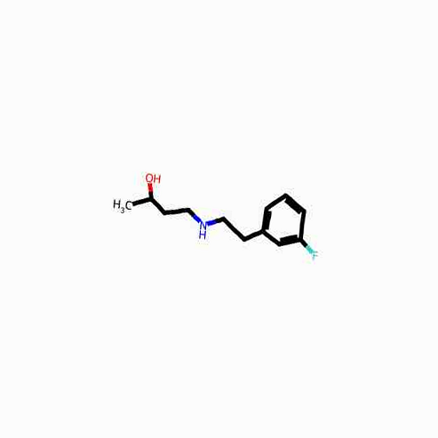 CC(O)CCNCCc1cccc(F)c1